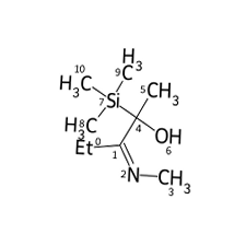 CCC(=NC)C(C)(O)[Si](C)(C)C